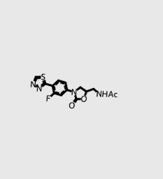 CC(=O)NCC1CN(c2ccc(-c3nncs3)c(F)c2)C(=O)O1